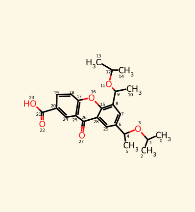 CC(C)OC(C)c1cc(C(C)OC(C)C)c2oc3ccc(C(=O)O)cc3c(=O)c2c1